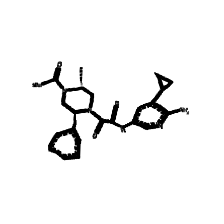 C[C@@H]1CN(C(=O)C(=O)Nc2cnc(N)c(C3CC3)c2)[C@@H](c2ccccc2)CN1C(=O)C(C)(C)C